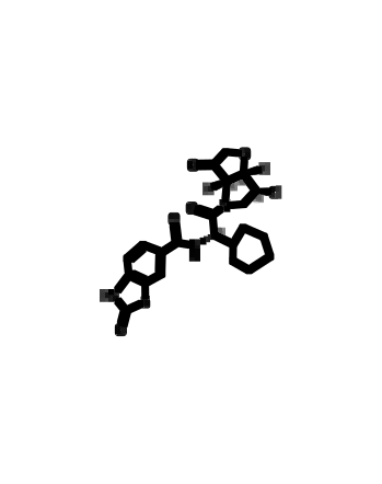 O=C(N[C@H](C(=O)N1C[C@H](Cl)[C@H]2OCC(=O)[C@H]21)C1CCCCC1)c1ccc2[nH]c(=O)sc2c1